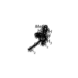 COc1cccc2c1C(=O)c1c(O)c3c(c(O)c1C2=O)C[C@@](O)(C(=O)NNC(=O)[C@H](C)NC(=O)[C@H](CC(N)=O)NC(=O)CCOCCOCCOCCOCCN)C[C@@H]3O[C@H]1C[C@H]2[C@H](O[C@@H]3[C@@H](OC)OCCN32)[C@H](C)O1